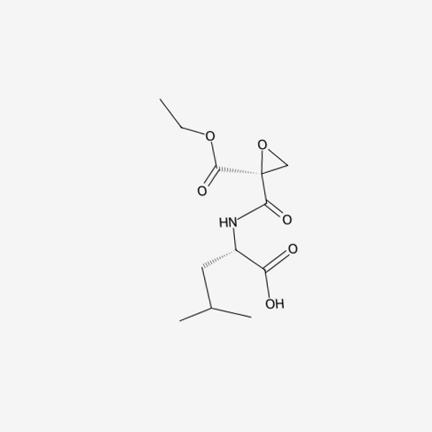 CCOC(=O)[C@@]1(C(=O)N[C@@H](CC(C)C)C(=O)O)CO1